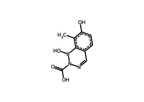 Cc1c(O)ccc2c1B(O)N(C(=O)O)N=C2